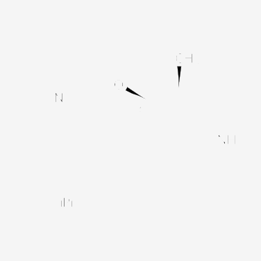 CC(C)c1ccnc(O[C@@H]2CCNC[C@@H]2C)c1